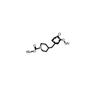 CCCOc1cc(CC2CCN(C(=O)OC(C)(C)C)CC2)ccc1Cl